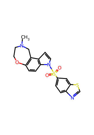 CN1CCOc2ccc3c(ccn3S(=O)(=O)c3ccc4ncsc4c3)c2C1